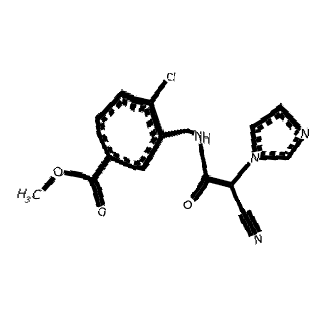 COC(=O)c1ccc(Cl)c(NC(=O)C(C#N)n2ccnc2)c1